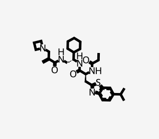 C=C(CN1CCC1)C(=O)NC[C@@H](NC(=O)[C@H](Cc1nc2ccc(C(C)C)cc2s1)NC(=O)CC)C1CCCCC1